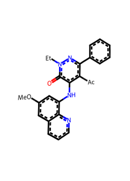 CCn1nc(-c2ccccc2)c(C(C)=O)c(Nc2cc(OC)cc3cccnc23)c1=O